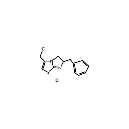 Cl.ClCC1=CSC2=NC(Cc3ccccc3)CN12